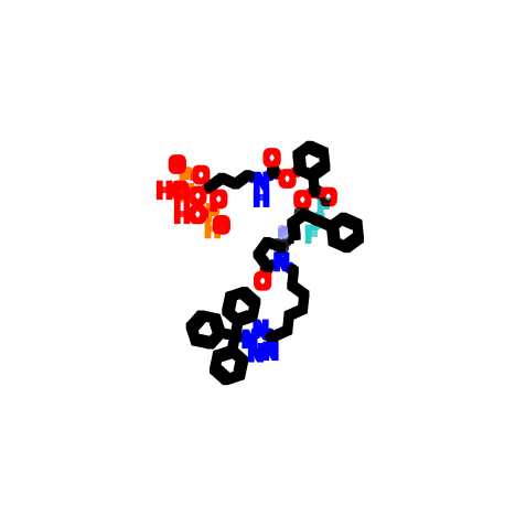 O=C(NCCCC(O)(O[PH](=O)O)O[PH](=O)O)Oc1ccccc1C(=O)O[C@H](/C=C/[C@H]1CCC(=O)N1CCCCCCc1nnn(C(c2ccccc2)(c2ccccc2)c2ccccc2)n1)C(F)(F)c1ccccc1